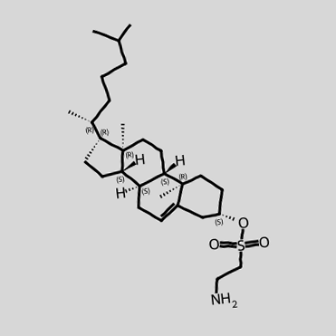 CC(C)CCC[C@@H](C)[C@H]1CC[C@H]2[C@@H]3CC=C4C[C@@H](OS(=O)(=O)CCN)CC[C@]4(C)[C@H]3CC[C@]12C